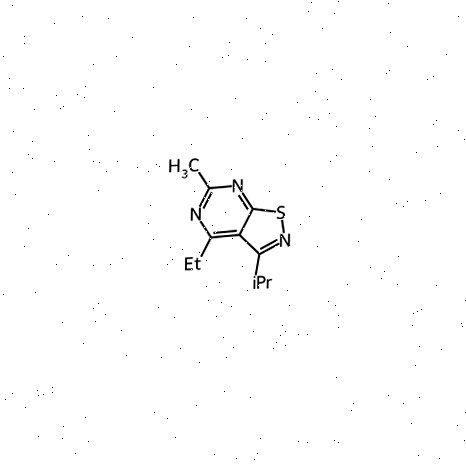 CCc1nc(C)nc2snc(C(C)C)c12